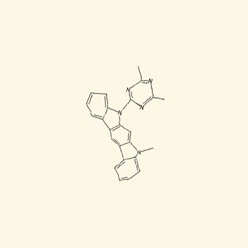 Cc1nc(C)nc(-n2c3ccccc3c3cc4c5ccccc5n(C)c4cc32)n1